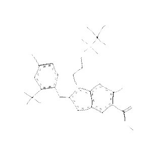 COC(=O)c1cc2cc(Cc3ccc(Cl)cc3C(F)(F)F)n(CCO[Si](C)(C)C(C)(C)C)c2cc1F